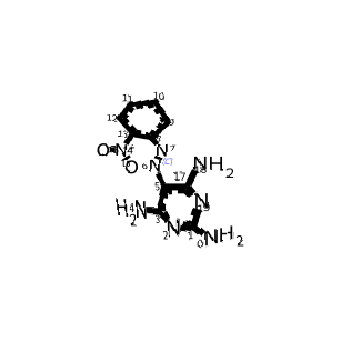 Nc1nc(N)c(/N=N/c2ccccc2[N+](=O)[O-])c(N)n1